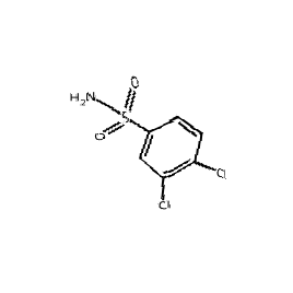 NS(=O)(=O)c1ccc(Cl)c(Cl)c1